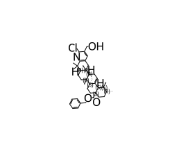 C[C@H]1[C@H](C)CC[C@]2(C(=O)OCc3ccccc3)CC[C@]3(C)C(=CC[C@@H]4[C@@]5(C)Cc6cc(CO)c(Cl)nc6C(C)(C)[C@@H]5CC[C@]43C)[C@H]12